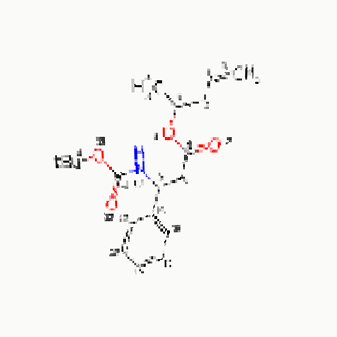 C=CCC(C)OC(=O)CC(NC(=O)OC(C)(C)C)c1ccccc1